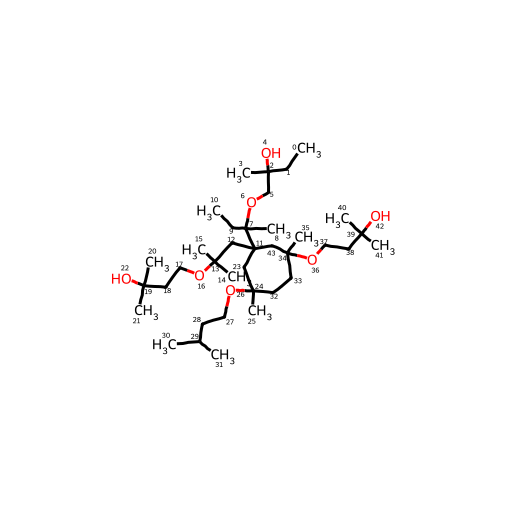 CCC(C)(O)COC(C)(CC)C1(CC(C)(C)OCCC(C)(C)O)CC(C)(OCCC(C)C)CCC(C)(OCCC(C)(C)O)C1